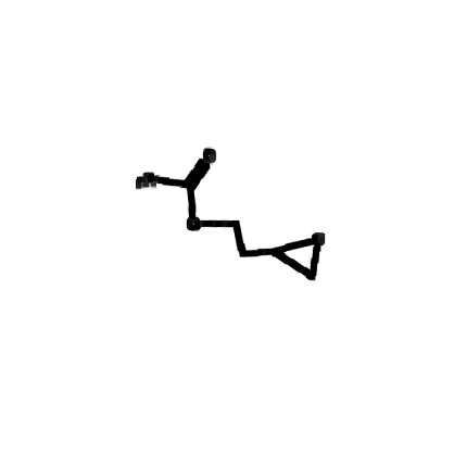 CCCC(=O)OCCC1CO1